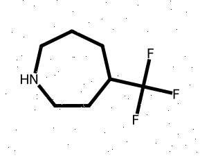 FC(F)(F)C1CCCNCC1